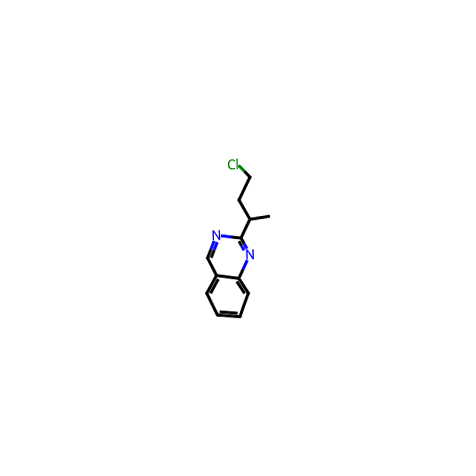 CC(CCCl)c1ncc2ccccc2n1